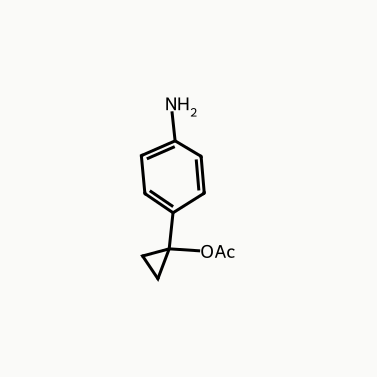 CC(=O)OC1(c2ccc(N)cc2)CC1